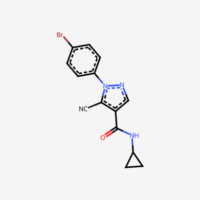 N#Cc1c(C(=O)NC2CC2)cnn1-c1ccc(Br)cc1